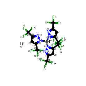 FC(F)(F)c1cc(C(F)(F)F)n([BH-](n2nc(C(F)(F)F)cc2C(F)(F)F)n2nc(C(F)(F)F)cc2C(F)(F)F)n1.[Li+]